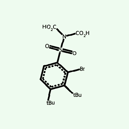 CC(C)(C)c1ccc(S(=O)(=O)N(C(=O)O)C(=O)O)c(Br)c1C(C)(C)C